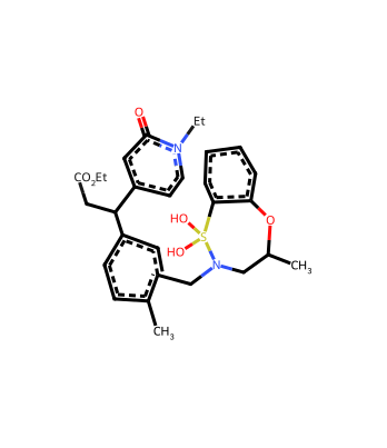 CCOC(=O)CC(c1ccc(C)c(CN2CC(C)Oc3ccccc3S2(O)O)c1)c1ccn(CC)c(=O)c1